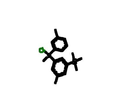 Cc1cccc([Si](C)(Cl)c2cc(C)cc([Si](C)(C)C)c2)c1